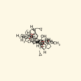 CO[C@]12CC[C@@]3(C[C@@H]1[C@](C)(O)C(C)(C)C)[C@H]1Cc4cc(-c5cc6c7c(c5O)O[C@@]5(C)[C@]78CC[C@@H](CC7CC7)[C@H](C6)[C@]86CC[C@@]5(OC)[C@@H]([C@](C)(O)C(C)(C)C)C6)c(O)c5c4[C@@]3(CCN1CC1CC1)[C@H]2O5